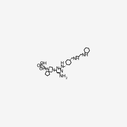 Nc1cc(N2CCN(CCP(=O)(O)O)C3(CCCC3)C2)nc(NC[C@H]2CC[C@H](CNCCCNC3CCCCC3)CC2)n1